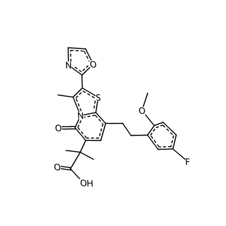 COc1ccc(F)cc1CCc1cc(C(C)(C)C(=O)O)c(=O)n2c(C)c(-c3ncco3)sc12